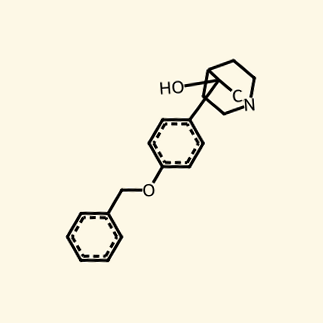 OC1(c2ccc(OCc3ccccc3)cc2)CN2CCC1CC2